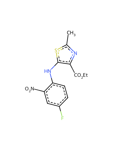 CCOC(=O)c1nc(C)sc1Nc1ccc(F)cc1[N+](=O)[O-]